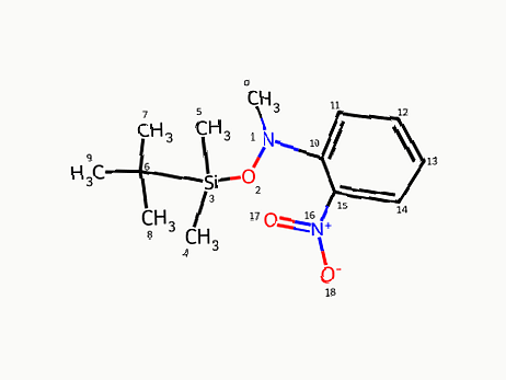 CN(O[Si](C)(C)C(C)(C)C)c1ccccc1[N+](=O)[O-]